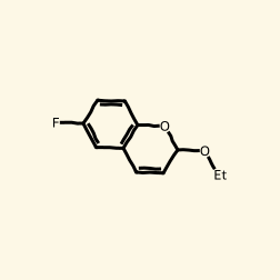 CCOC1C=Cc2cc(F)ccc2O1